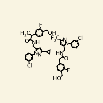 CC(C(=O)NCc1cc(C2CC2)nn1-c1cccc(Cl)c1)c1ccc(CO)c(F)c1.O=C(Cc1ccc(CO)c(F)c1)NCc1cc(C(F)(F)F)nn1-c1cccc(Cl)c1